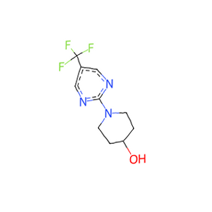 OC1CCN(c2ncc(C(F)(F)F)cn2)CC1